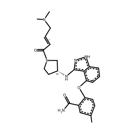 Cc1ccc(Oc2cccc3[nH]nc(N[C@@H]4CCN(C(=O)/C=C/CN(C)C)C4)c23)c(C(N)=O)c1